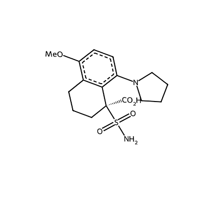 COc1ccc(N2CCCC2)c2c1CCC[C@]2(C(=O)O)S(N)(=O)=O